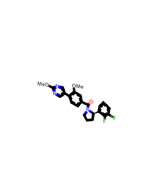 COc1ncc(-c2ccc(C(=O)N3CCC[C@@H]3c3cccc(F)c3F)cc2OC)cn1